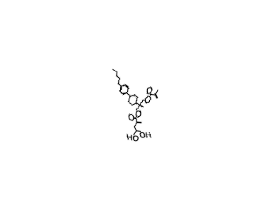 C=C(C)C(=O)OCC(C)(COC(=O)C(=C)CC(CO)CO)C1CCC(c2ccc(CCCCC)cc2)CC1